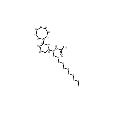 CCCCCCCCCCCC(O[N+](=O)[O-])N1CCOC(C2CCCCCCC2)C1